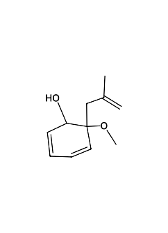 C=C(C)CC1(OC)C=CC=CC1O